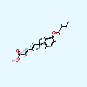 CCCCOc1cccc(C(C)(C)/C=C/C=C/C(=O)O)c1